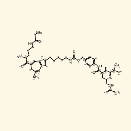 CCCN(CCCNC(=O)CC(C)(C)C)C(=O)C1=Cc2sc(CCCCCNC(=O)OCc3ccc(NC(=O)[C@H](CCCNC(N)=O)NC(=O)[C@@H](N)C(C)C)cc3)cc2N=C(N)C1